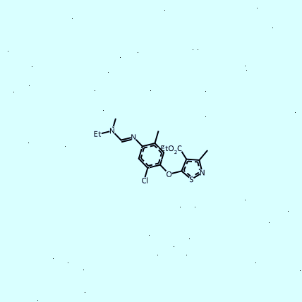 CCOC(=O)c1c(C)nsc1Oc1cc(C)c(N=CN(C)CC)cc1Cl